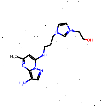 Cc1cc(NCCCn2cc[n+](CCO)c2)n2ncc(N)c2n1